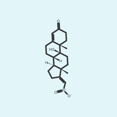 C[C@]12CCC(=O)C=C1CC[C@H]1[C@@H]3CCC(=C[N+](=O)[O-])[C@@]3(C)CC[C@]12O